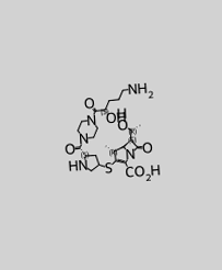 C[C@H]1C(SC2CN[C@H](C(=O)N3CCN(C(=O)[C@@H](O)CCCN)CC3)C2)=C(C(=O)O)N2C(=O)[C@H]([C@@H](C)O)C12